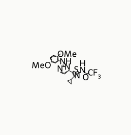 COc1ccc(OC)c(Nc2nccc(-c3sc(NC(=O)C(F)(F)F)nc3C3CC3)n2)c1